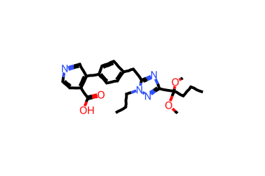 CCCn1nc(C(CCC)(OC)OC)nc1Cc1ccc(-c2cnccc2C(=O)O)cc1